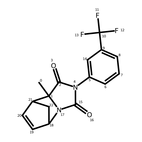 CC12C(=O)N(c3cccc(C(F)(F)F)c3)C(=O)N1C1C=CC2C1